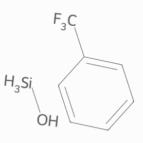 FC(F)(F)c1ccccc1.O[SiH3]